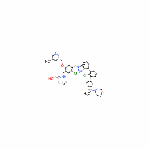 C[C@@H](C1=CC=C(c2cccc(-c3cccc4c3cnn4Cc3cc(OCc4cncc(C#N)c4)c(CN[C@@H](CO)C(=O)O)cc3Cl)c2Cl)C1)N1CCOCC1